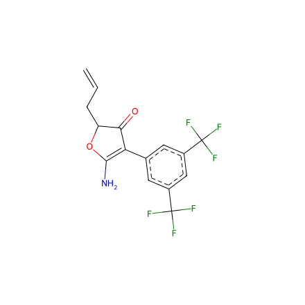 C=CCC1OC(N)=C(c2cc(C(F)(F)F)cc(C(F)(F)F)c2)C1=O